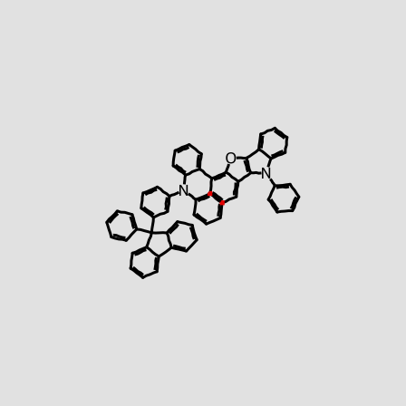 c1ccc(N(c2cccc(C3(c4ccccc4)c4ccccc4-c4ccccc43)c2)c2ccccc2-c2cccc3c2oc2c4ccccc4n(-c4ccccc4)c32)cc1